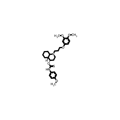 COc1ccc(NC(=S)O[C@H]2CCN(CCCOc3ccc(OC)c(OC)c3)C3CCCC[C@H]32)cc1